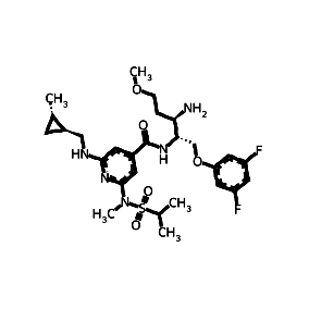 COCC[C@@H](N)[C@H](COc1cc(F)cc(F)c1)NC(=O)c1cc(NC[C@H]2C[C@@H]2C)nc(N(C)S(=O)(=O)C(C)C)c1